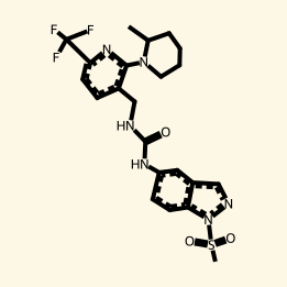 CC1CCCCN1c1nc(C(F)(F)F)ccc1CNC(=O)Nc1ccc2c(cnn2S(C)(=O)=O)c1